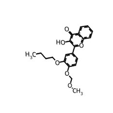 CCCCOc1cc(-c2oc3ccccc3c(=O)c2O)ccc1OCOC